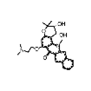 CN(C)CCOc1cc2c(c3c1c(=O)c1cc4ccccc4cc1n3C)[C@@H](O)[C@@H](O)C(C)(C)O2